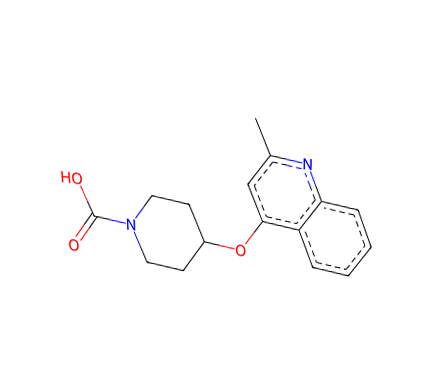 Cc1cc(OC2CCN(C(=O)O)CC2)c2ccccc2n1